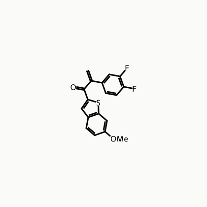 C=C(C(=O)c1cc2ccc(OC)cc2s1)c1ccc(F)c(F)c1